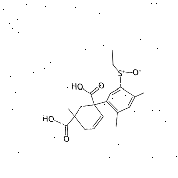 CC[S+]([O-])c1cc(C2(C(=O)O)C=CCC(C)(C(=O)O)C2)c(C)cc1C